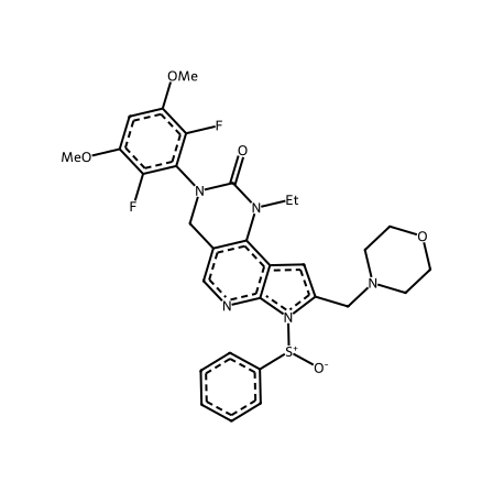 CCN1C(=O)N(c2c(F)c(OC)cc(OC)c2F)Cc2cnc3c(cc(CN4CCOCC4)n3[S+]([O-])c3ccccc3)c21